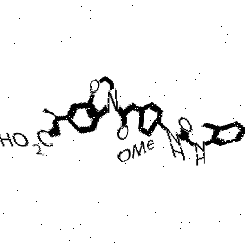 COc1cc(CC(=O)N2CCOc3cc([C@H](C)CC(=O)O)ccc32)ccc1NC(=O)Nc1ccccc1C